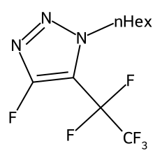 CCCCCCn1nnc(F)c1C(F)(F)C(F)(F)F